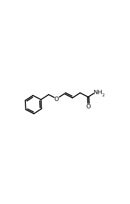 NC(=O)CC=COCc1ccccc1